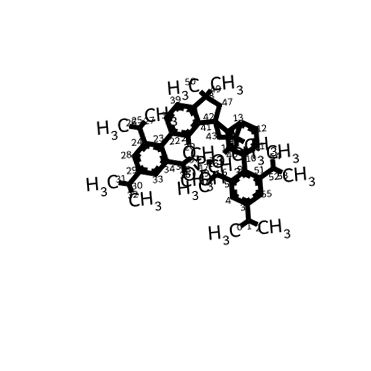 CC(C)c1cc(C(C)C)c(-c2ccc3c4c2OP(=O)(O)Oc2c(-c5c(C(C)C)cc(C(C)C)cc5C(C)C)ccc5c2C4(CC3(C)C)CC5(C)C)c(C(C)C)c1